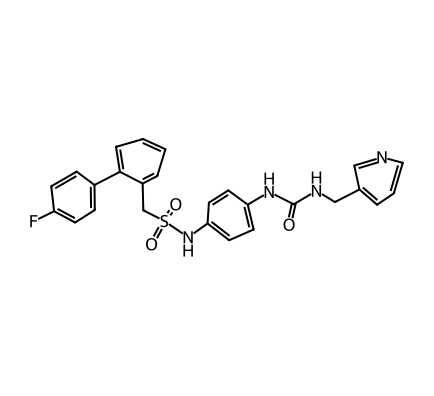 O=C(NCc1cccnc1)Nc1ccc(NS(=O)(=O)Cc2ccccc2-c2ccc(F)cc2)cc1